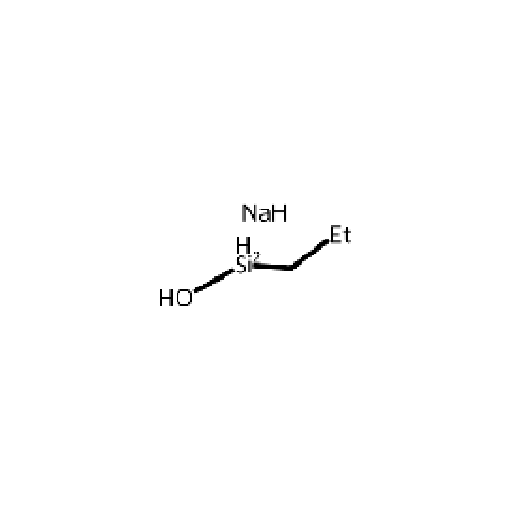 CCC[SiH2]O.[NaH]